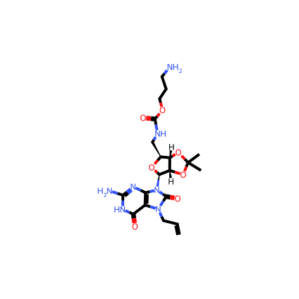 C=CCn1c(=O)n([C@H]2O[C@@H](CNC(=O)OCCCN)[C@@H]3OC(C)(C)O[C@@H]32)c2nc(N)[nH]c(=O)c21